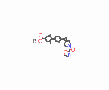 Cc1cc(C(=O)OC(C)(C)C)ccc1-c1ccc(C2CC23CCN(C(=O)c2ncco2)CC3)cc1